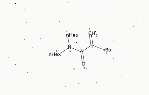 C=C(CCCC)C(=O)N(CCCCCC)CCCCCC